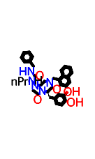 CCCN(C(=O)NCc1ccccc1)N1CC(=O)N2[C@@H](Cc3ccc(O)c(O)c3)C(=O)N(Cc3cccc4ccccc34)C[C@@H]21